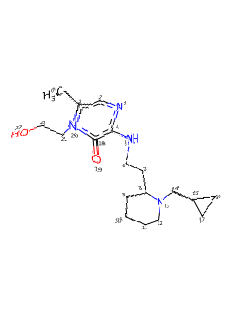 Cc1cnc(NCCC2CCCCN2CC2CC2)c(=O)n1CCO